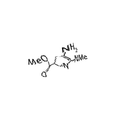 CNc1ncc(C(=O)OC)cc1N